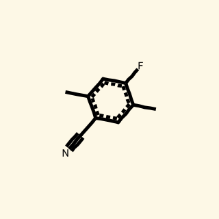 Cc1cc(C#N)c(C)cc1F